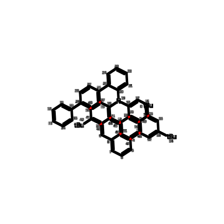 CC(C)(C)c1cc(-c2cccc3cccc(-c4ccccc4N(c4ccccc4-c4ccc(-c5ccccc5)cc4)c4ccc(C(C)(C)C)cc4-c4ccccc4)c23)cc(C(C)(C)C)c1